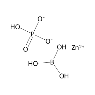 O=P([O-])([O-])O.OB(O)O.[Zn+2]